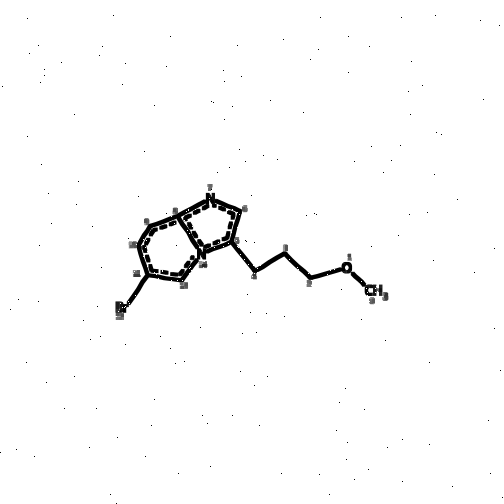 COCCCc1cnc2ccc(Br)cn12